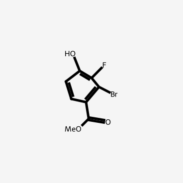 COC(=O)c1ccc(O)c(F)c1Br